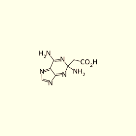 NC1=NC(N)(CC(=O)O)N=C2N=CN=C12